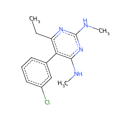 CCc1nc(NC)nc(NC)c1-c1cccc(Cl)c1